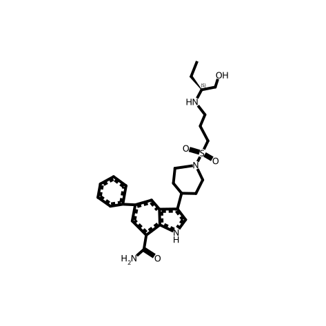 CC[C@@H](CO)NCCCS(=O)(=O)N1CCC(c2c[nH]c3c(C(N)=O)cc(-c4ccccc4)cc23)CC1